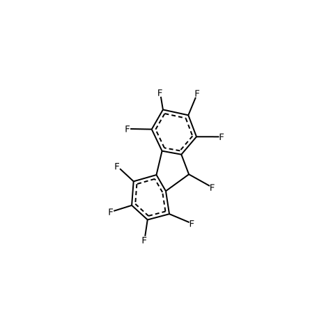 Fc1c(F)c(F)c2c(c1F)-c1c(F)c(F)c(F)c(F)c1C2F